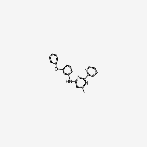 Cc1cc(Nc2cccc(Oc3ccccc3)c2)nc(-c2ccccn2)n1